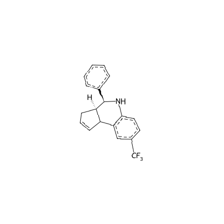 FC(F)(F)c1ccc2c(c1)C1C=CC[C@H]1[C@@H](c1ccccc1)N2